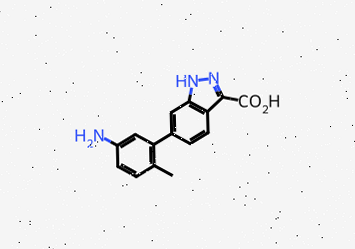 Cc1ccc(N)cc1-c1ccc2c(C(=O)O)n[nH]c2c1